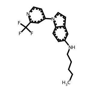 CCCCCNc1ccc2c(ccn2-c2ccnc(C(F)(F)F)c2)c1